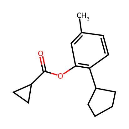 Cc1ccc(C2CCCC2)c(OC(=O)C2CC2)c1